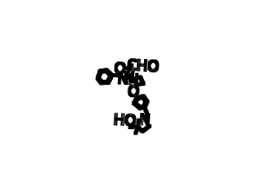 CC1(CO)CCN(Cc2ccc(OC3CCN3N3N=C(c4ccccc4)OC3C=O)cc2)C1